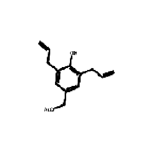 C=CCc1cc(COC(C)=O)cc(CC=C)c1O